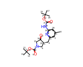 Cc1cc(C[C@H]2CN(C(=O)OC(C)(C)C)CC2=O)nc(NC(=O)OC(C)(C)C)c1